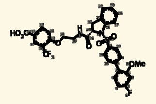 COc1cc(F)ccc1-c1ccc(S(=O)(=O)N2c3ccccc3C[C@H]2C(=O)NCCOc2ccc(C(=O)O)cc2C(F)(F)F)cc1